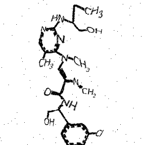 C=N/C(=C\N(C)c1nc(NC(CC)CO)ncc1C)C(=O)N[C@H](CO)c1cccc(Cl)c1